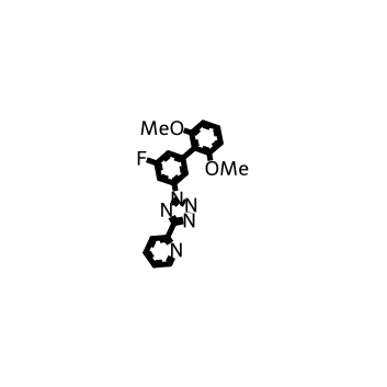 COc1cccc(OC)c1-c1cc(F)cc(-n2nnc(-c3ccccn3)n2)c1